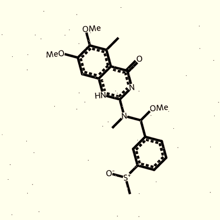 COc1cc2[nH]c(N(C)C(OC)c3cccc([S+](C)[O-])c3)nc(=O)c2c(C)c1OC